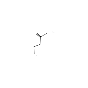 [CH2]OCCC(=O)OC